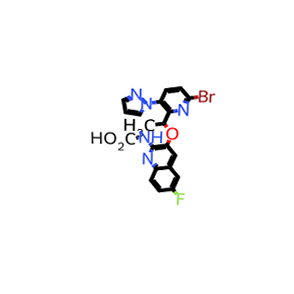 CC(Oc1cc2cc(F)ccc2nc1NC(=O)O)c1nc(Br)ccc1-n1cccn1